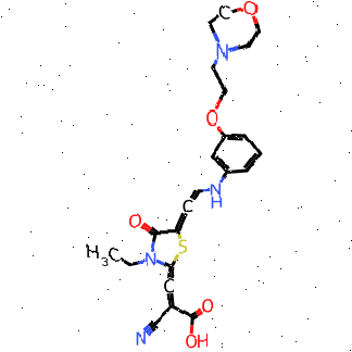 CCn1c(=C=C(C#N)C(=O)O)sc(=C=CNc2cccc(OCCN3CCOCC3)c2)c1=O